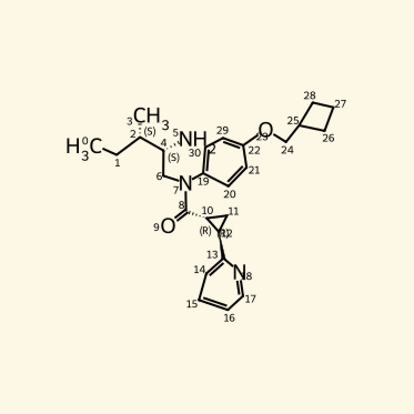 CC[C@H](C)[C@H](N)CN(C(=O)[C@@H]1C[C@H]1c1ccccn1)c1ccc(OCC2CCC2)cc1